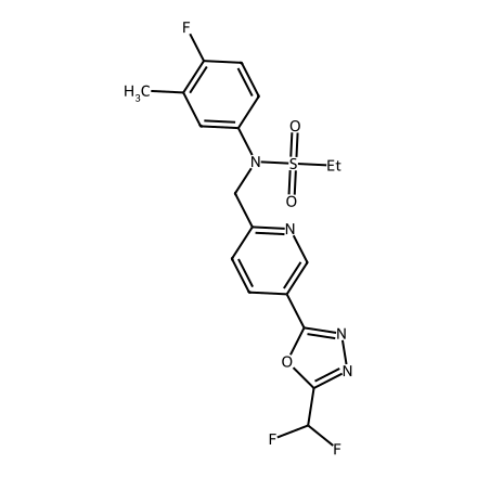 CCS(=O)(=O)N(Cc1ccc(-c2nnc(C(F)F)o2)cn1)c1ccc(F)c(C)c1